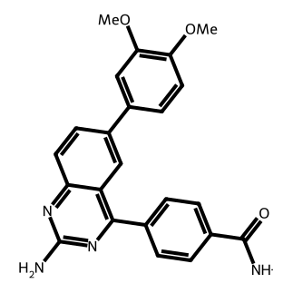 COc1ccc(-c2ccc3nc(N)nc(-c4ccc(C([NH])=O)cc4)c3c2)cc1OC